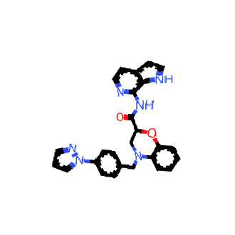 O=C(Nc1nccc2cc[nH]c12)C1CN(Cc2ccc(-n3cccn3)cc2)c2ccccc2O1